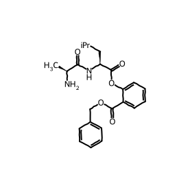 CC(C)C[C@H](NC(=O)[C@H](C)N)C(=O)Oc1ccccc1C(=O)OCc1ccccc1